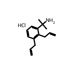 C=CCc1cccc(C(C)(C)N)c1CC=C.Cl